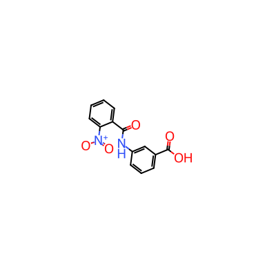 O=C(O)c1cccc(NC(=O)c2ccccc2[N+](=O)[O-])c1